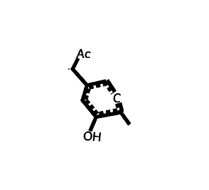 CC(=O)[CH]c1ccc(C)c(O)c1